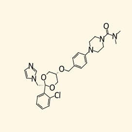 CN(C)C(=O)N1CCN(c2ccc(CO[C@H]3CO[C@](Cn4ccnc4)(c4ccccc4Cl)OC3)cc2)CC1